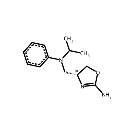 CC(C)N(C[C@@H]1COC(N)=N1)c1ccccc1